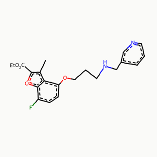 CCOC(=O)c1oc2c(F)ccc(OCCCNCc3cccnc3)c2c1C